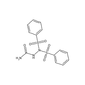 NC(=O)NN(S(=O)(=O)c1ccccc1)S(=O)(=O)c1ccccc1